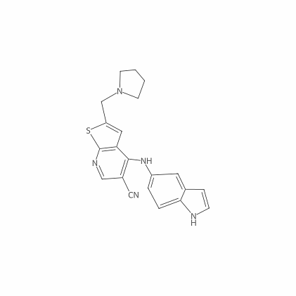 N#Cc1cnc2sc(CN3CCCC3)cc2c1Nc1ccc2[nH]ccc2c1